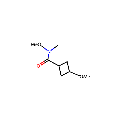 COC1CC(C(=O)N(C)OC)C1